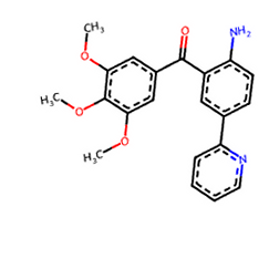 COc1cc(C(=O)c2cc(-c3ccccn3)ccc2N)cc(OC)c1OC